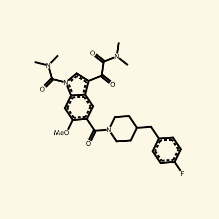 COc1cc2c(cc1C(=O)N1CCC(Cc3ccc(F)cc3)CC1)c(C(=O)C(=O)N(C)C)cn2C(=O)N(C)C